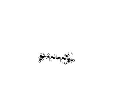 COC(=O)N(CCNCCNCCNC(=O)OCc1oc(=O)oc1C)c1oc(=O)oc1C